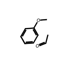 CC=O.COc1ccccc1